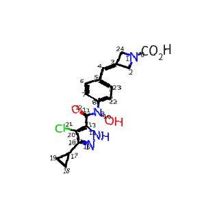 O=C(O)N1CC(=Cc2ccc(N(O)C(=O)c3[nH]nc(C4CC4)c3Cl)cc2)C1